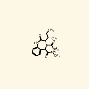 CC[C@H](C)[C@H]1C(=O)Nc2ccccc2C(C(=O)NC)N1C(N)=O